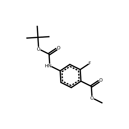 COC(=O)c1ccc(NC(=O)OC(C)(C)C)cc1F